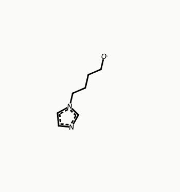 [O]CCCCn1ccnc1